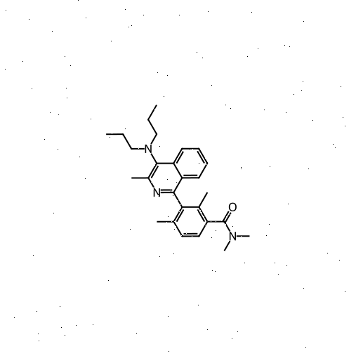 CCCN(CCC)c1c(C)nc(-c2c(C)ccc(C(=O)N(C)C)c2C)c2ccccc12